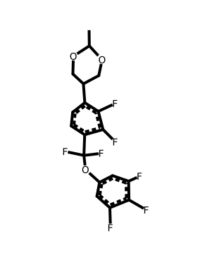 CC1OCC(c2ccc(C(F)(F)Oc3cc(F)c(F)c(F)c3)c(F)c2F)CO1